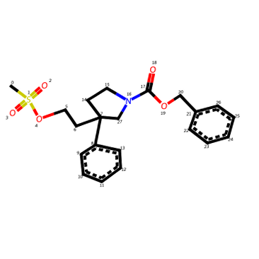 CS(=O)(=O)OCCC1(c2ccccc2)CCN(C(=O)OCc2ccccc2)C1